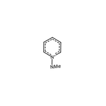 CN[n+]1ccccc1